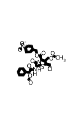 CC(=O)OCC1=C(C(=O)OCc2ccc([N+](=O)[O-])cc2)N2C(=O)C(NC(=O)C(OC=O)c3ccccc3)[C@@H]2SC1=CCl